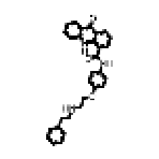 O=C(Nc1ccc(OCCNCCc2ccccc2)cc1)c1cccc2c(=O)c3ccccc3[nH]c12